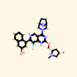 C[C@H]1C[C@@H](COc2nc(N3CC4CCC(C3)N4)c3cnc(-c4cc(O)cc5ccccc45)c(F)c3n2)N(C)C1